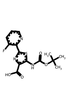 CC(C)(C)OC(=O)Nc1sc(-c2ncccc2F)nc1C(=O)O